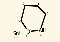 C1C[CH2][AlH][O]C1.[Sn]